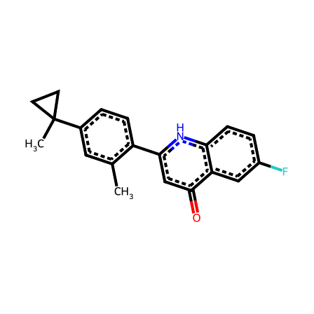 Cc1cc(C2(C)CC2)ccc1-c1cc(=O)c2cc(F)ccc2[nH]1